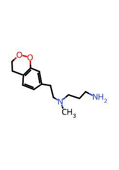 CN(CCCN)CCc1ccc2c(c1)OOCC2